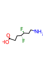 NCC[C@H](F)[C@H](F)CCC(=O)O